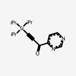 CC(C)[Si](C#CC(=O)c1ccncn1)(C(C)C)C(C)C